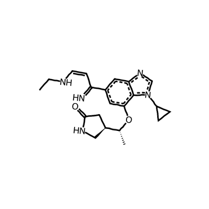 CCN/C=C\C(=N)c1cc(O[C@H](C)[C@H]2CNC(=O)C2)c2c(c1)ncn2C1CC1